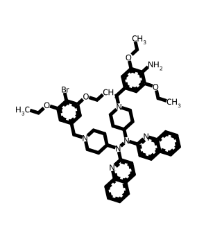 CCOc1cc(CN2CCC(N(c3ccc4ccccc4n3)N(c3ccc4ccccc4n3)C3CCN(Cc4cc(OCC)c(Br)c(OCC)c4)CC3)CC2)cc(OCC)c1N